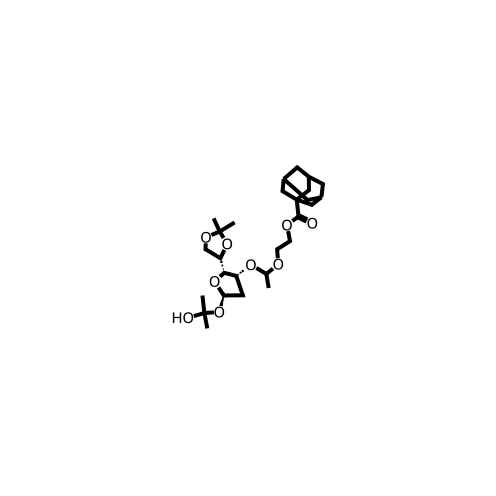 CC(OCCOC(=O)C12CC3CC(CC(C3)C1)C2)O[C@@H]1C[C@@H](OC(C)(C)O)O[C@@H]1C1COC(C)(C)O1